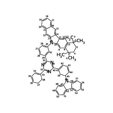 CC1(C)CCC(C)(C)c2cc3c(cc21)c1cc2ccccc2cc1n3-c1cccc(-c2nc(C3=CC=CCC3)nc(C3=CC=CC(n4c5ccccc5c5ccccc54)C3)n2)c1